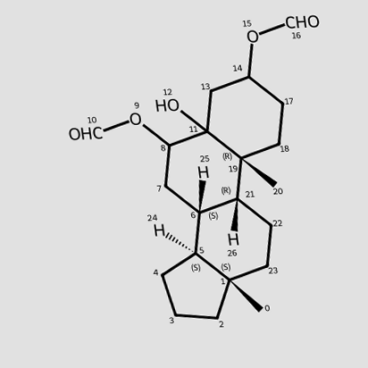 C[C@@]12CCC[C@H]1[C@@H]1CC(OC=O)C3(O)CC(OC=O)CC[C@]3(C)[C@@H]1CC2